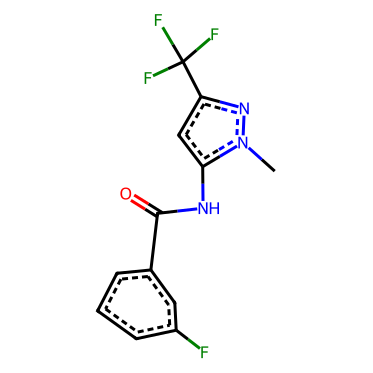 Cn1nc(C(F)(F)F)cc1NC(=O)c1cccc(F)c1